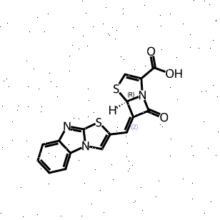 O=C(O)C1=CS[C@@H]2/C(=C\c3cn4c(nc5ccccc54)s3)C(=O)N12